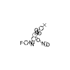 CC(C)(C)c1ccc(S(=O)(=O)N2CCC3=Cc4c(cnn4-c4ccc(F)cc4)CC3(COCCN3CCOCC3)C2)cc1